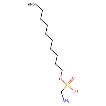 CCCCCCCCCCCCCCCCCCOP(=O)(O)CN